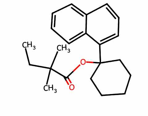 CCC(C)(C)C(=O)OC1(c2cccc3ccccc23)CCCCC1